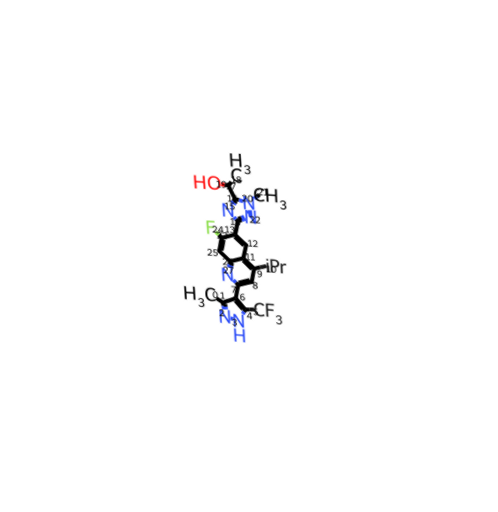 Cc1n[nH]c(C(F)(F)F)c1-c1cc(C(C)C)c2cc(-c3nc(C(C)O)n(C)n3)c(F)cc2n1